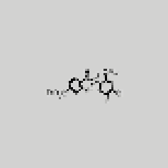 CCOC(=O)c1ccc(NS(=O)(=O)c2cc(F)c(Cl)cc2OC)c(F)c1